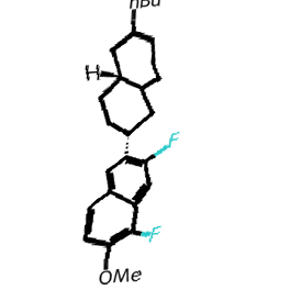 CCCCC1CCC2C[C@H](c3cc4ccc(OC)c(F)c4cc3F)CC[C@@H]2C1